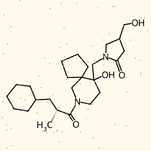 C[C@H](CC1CCCCC1)C(=O)N1CCC(O)(CN2CC(CO)CC2=O)C2(CCCC2)C1